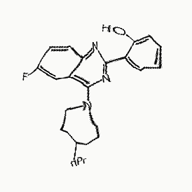 CCCC1CCN(c2nc(-c3ccccc3O)nc3ccc(F)cc23)CC1